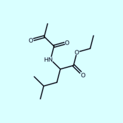 CCOC(=O)C(CC(C)C)NC(=O)C(C)=O